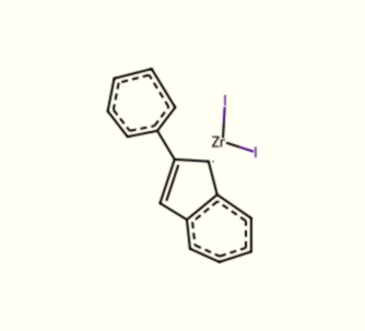 [CH]1C(c2ccccc2)=Cc2ccccc21.[I][Zr][I]